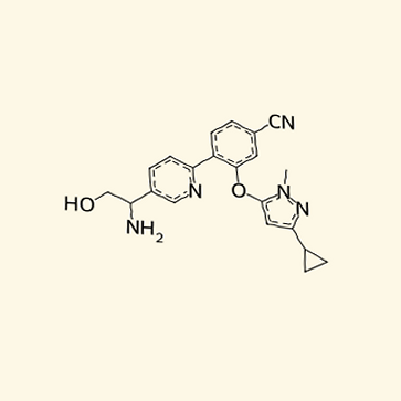 Cn1nc(C2CC2)cc1Oc1cc(C#N)ccc1-c1ccc(C(N)CO)cn1